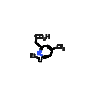 O=C(O)Cc1cc(C(F)(F)F)ccn1.[Li][CH2]C